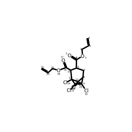 C=CCOC(=O)C1CC2C(Cl)=C(Cl)C(Cl)(C1C(=O)OCC=C)C2(Cl)Cl